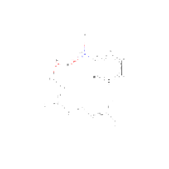 CC(C)=CCCC(C)=CCO.O=[N+]([O-])c1ccccc1